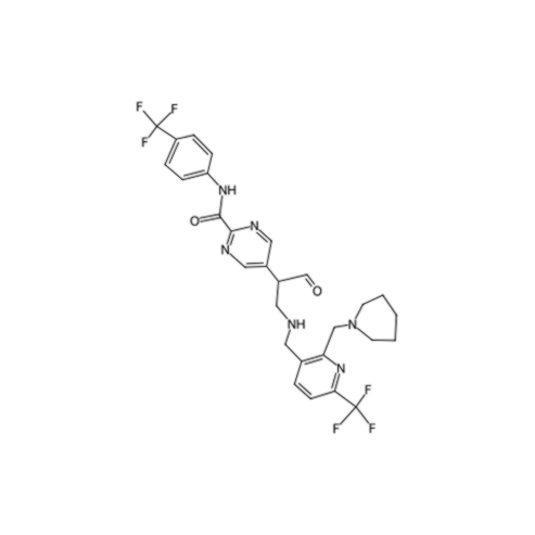 O=CC(CNCc1ccc(C(F)(F)F)nc1CN1CCCCC1)c1cnc(C(=O)Nc2ccc(C(F)(F)F)cc2)nc1